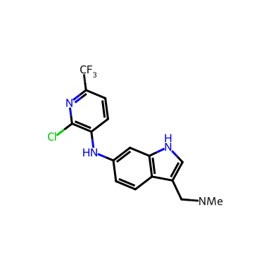 CNCc1c[nH]c2cc(Nc3ccc(C(F)(F)F)nc3Cl)ccc12